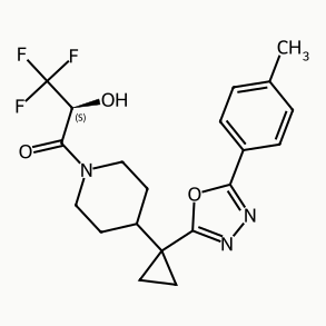 Cc1ccc(-c2nnc(C3(C4CCN(C(=O)[C@H](O)C(F)(F)F)CC4)CC3)o2)cc1